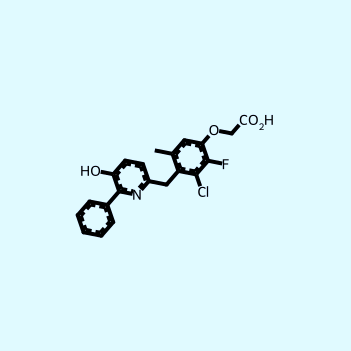 Cc1cc(OCC(=O)O)c(F)c(Cl)c1Cc1ccc(O)c(-c2ccccc2)n1